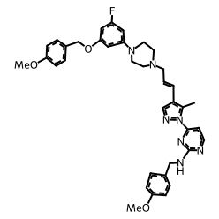 COc1ccc(CNc2nccc(-n3ncc(/C=C/CN4CCN(c5cc(F)cc(OCc6ccc(OC)cc6)c5)CC4)c3C)n2)cc1